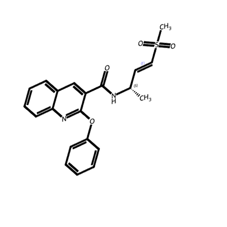 C[C@@H](/C=C/S(C)(=O)=O)NC(=O)c1cc2ccccc2nc1Oc1ccccc1